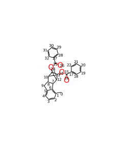 Cc1cccc2c1C1C(C2)C2CC1C(OC(=O)c1ccccc1)C2OC(=O)c1ccccc1